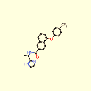 C[C@@H](NC(=O)c1ccc2c(Oc3ccc(C(F)(F)F)cc3)cccc2c1)c1ncc[nH]1